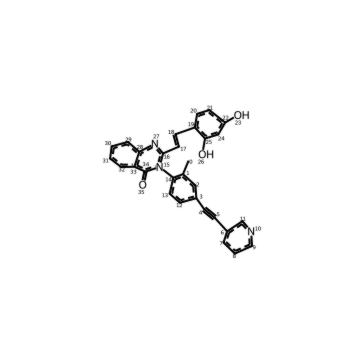 Cc1cc(C#Cc2cccnc2)ccc1-n1c(C=Cc2ccc(O)cc2O)nc2ccccc2c1=O